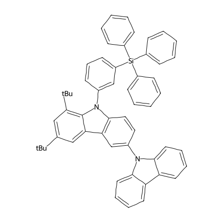 CC(C)(C)c1cc(C(C)(C)C)c2c(c1)c1cc(-n3c4ccccc4c4ccccc43)ccc1n2-c1cccc([Si](c2ccccc2)(c2ccccc2)c2ccccc2)c1